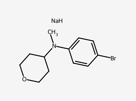 CN(c1ccc(Br)cc1)C1CCOCC1.[NaH]